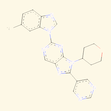 N#Cc1ccc2ncn(-c3ncc4nc(-c5cncnc5)n(C5CCOCC5)c4n3)c2c1